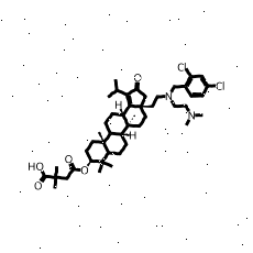 CC(C)C1=C2[C@H]3CCC4[C@@H](CCC5C(C)(C)[C@@H](OC(=O)CC(C)(C)C(=O)O)CC[C@]45C)[C@]3(C)CC[C@@]2(CCN(CCN(C)C)Cc2ccc(Cl)cc2Cl)CC1=O